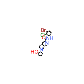 O=C(Nc1cccc(Br)c1Cl)c1cc2c(cn1)CN([C@H]1CCC[C@@H]1O)CC2